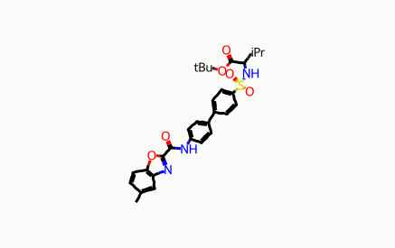 Cc1ccc2oc(C(=O)Nc3ccc(-c4ccc(S(=O)(=O)NC(C(=O)OC(C)(C)C)C(C)C)cc4)cc3)nc2c1